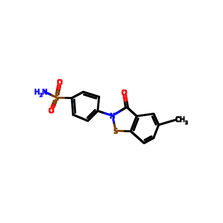 Cc1ccc2sn(-c3ccc(S(N)(=O)=O)cc3)c(=O)c2c1